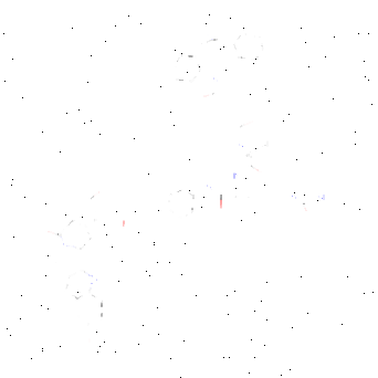 CCc1c2c(nc3ccc(O)cc13)-c1cc3c(c(=O)n1C2)COC(=O)[C@@]3(CC)OC(=O)OCc1ccc(NC(=O)[C@H](CCCNC(N)=O)NC(=O)[C@@H](NC(=O)CCC(=O)N2Cc3ccccc3/C=C\c3ccccc32)C(C)C)cc1